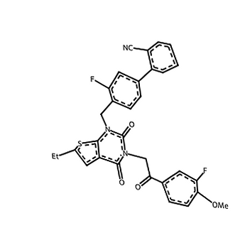 CCc1cc2c(=O)n(CC(=O)c3ccc(OC)c(F)c3)c(=O)n(Cc3ccc(-c4ccccc4C#N)cc3F)c2s1